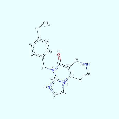 CCc1ccc(Cn2c(=O)c3c(n4ccnc24)CCNC3)cc1